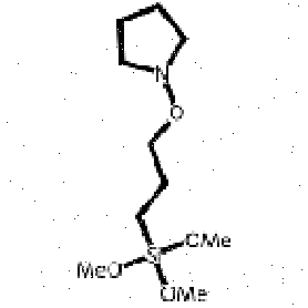 CO[Si](CCCON1CCCC1)(OC)OC